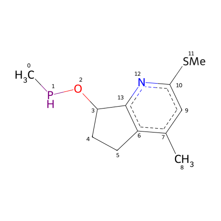 CPOC1CCc2c(C)cc(SC)nc21